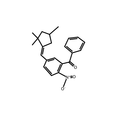 CC1C/C(=C\c2ccc([N+](=O)[O-])c(C(=O)c3ccccc3)c2)C(C)(C)C1